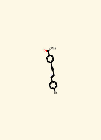 CCc1ccc(/C=C/C#Cc2ccc(C(=O)OC)cc2)cc1